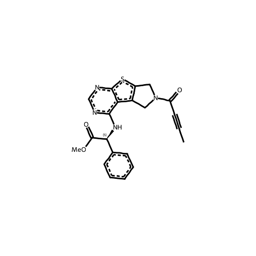 CC#CC(=O)N1Cc2sc3ncnc(N[C@H](C(=O)OC)c4ccccc4)c3c2C1